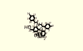 Cc1ccc(CCN(CCc2ccc(C)cc2)c2cc(CO)cc(S(N)(=O)=O)c2Oc2ccccc2)cc1